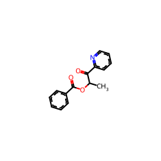 CC(OC(=O)c1ccccc1)C(=O)c1ccccn1